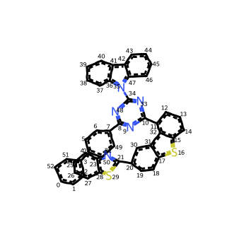 c1ccc(-c2ccc(-c3nc(-c4cccc5sc6ccc(-c7nc8ccccc8s7)cc6c45)nc(-n4c5ccccc5c5ccccc54)n3)cc2)cc1